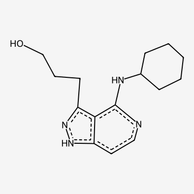 OCCCc1n[nH]c2ccnc(NC3CCCCC3)c12